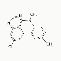 Cc1ccc(N(C)c2ncnc3cc(Cl)ccc23)cc1